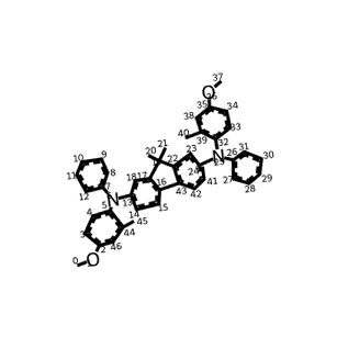 COc1ccc(N(c2ccccc2)c2ccc3c(c2)C(C)(C)c2cc(N(c4ccccc4)c4ccc(OC)cc4C)ccc2-3)c(C)c1